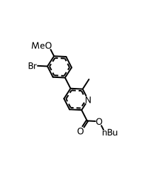 CCCCOC(=O)c1ccc(-c2ccc(OC)c(Br)c2)c(C)n1